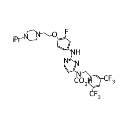 CC(C)N1CCN(CCOc2ccc(Nc3nccc(N(Cc4cc(C(F)(F)F)cc(C(F)(F)F)c4)C(=O)O)n3)cc2F)CC1